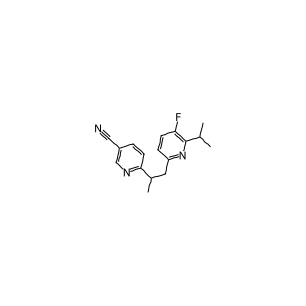 CC(C)c1nc(CC(C)c2ccc(C#N)cn2)ccc1F